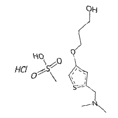 CN(C)Cc1cc(OCCCO)cs1.CS(=O)(=O)O.Cl